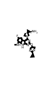 CNc1cc(F)cc2c1[nH]c1nc(Oc3cnc(C4CC4)nc3)nc(N3CC[C@@]4(C[C@H]4N)C3)c12